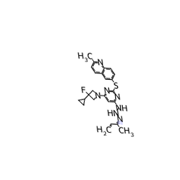 C=C/C(C)=N\NNc1cc(N2CC(F)(C3CC3)C2)nc(Sc2ccc3nc(C)ccc3c2)n1